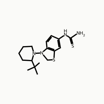 CC(C)(C)C1CCCCN1N1CSc2cc(NC(N)=S)ccc21